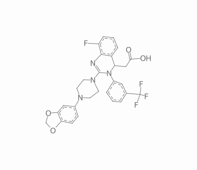 O=C(O)CC1c2cccc(F)c2N=C(N2CCN(c3ccc4c(c3)OCO4)CC2)N1c1cccc(C(F)(F)F)c1